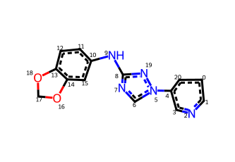 c1cncc(-n2cnc(Nc3ccc4c(c3)OCO4)n2)c1